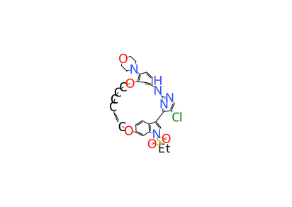 CCS(=O)(=O)n1cc2c3ccc(cc31)OC/C=C\CCCCOc1cc(ccc1N1CCOCC1)Nc1ncc(Cl)c-2n1